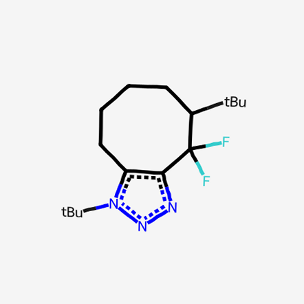 CC(C)(C)C1CCCCc2c(nnn2C(C)(C)C)C1(F)F